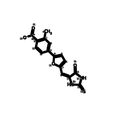 Cc1cc(-c2ccc(/C=C3/NC(=S)NC3=O)o2)ccc1[N+](=O)[O-]